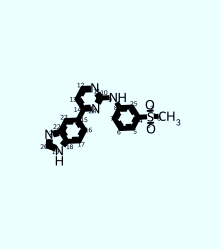 CS(=O)(=O)c1cccc(Nc2nccc(-c3ccc4[nH]cnc4c3)n2)c1